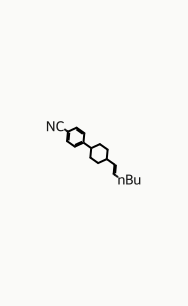 CCCCC=CC1CCC(c2ccc(C#N)cc2)CC1